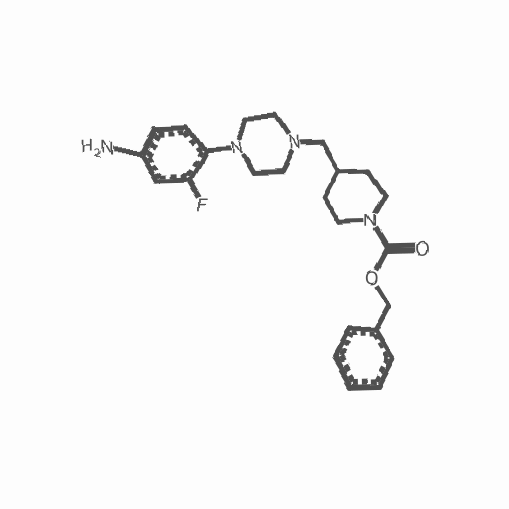 Nc1ccc(N2CCN(CC3CCN(C(=O)OCc4ccccc4)CC3)CC2)c(F)c1